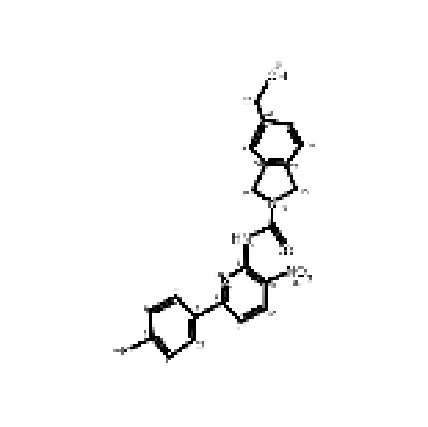 O=C(Nc1nc(-c2ccc(F)cc2)ccc1[N+](=O)[O-])N1Cc2ccc(CO)cc2C1